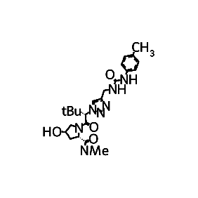 CNC(=O)[C@@H]1C[C@@H](O)CN1C(=O)[C@@H](n1cc(CNC(=O)Nc2ccc(C)cc2)nn1)C(C)(C)C